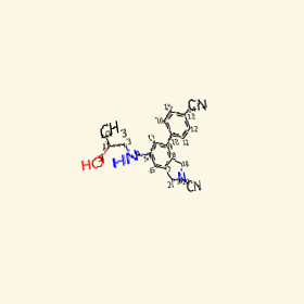 CC(O)CNc1cc2c(c(-c3ccc(C#N)cc3)c1)CN(C#N)C2